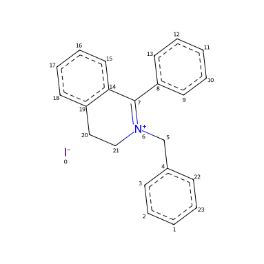 [I-].c1ccc(C[N+]2=C(c3ccccc3)c3ccccc3CC2)cc1